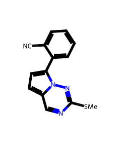 CSc1ncc2ccc(-c3ccccc3C#N)n2n1